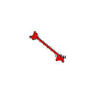 COc1ccc([C@@]23Oc4cc(OC)cc(OC)c4[C@]2(O)[C@H](O)[C@H](C(=O)NCCOCCOCCOCCOCCOCCOCCOCCOCCOCCOCCOCCNC(=O)[C@H]2[C@@H](O)[C@@]4(O)c5c(OC)cc(OC)cc5O[C@@]4(c4ccc(OC)cc4)[C@@H]2c2ccccc2)[C@H]3c2ccccc2)cc1